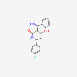 CN1C(=O)C(C(=N)c2ccccc2)=C(O)CC1c1ccc(F)cc1